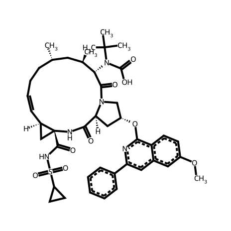 COc1ccc2c(O[C@@H]3C[C@H]4C(=O)N[C@]5(C(=O)NS(=O)(=O)C6CC6)C[C@H]5/C=C\CC[C@H](C)C[C@@H](C)[C@H](N(C(=O)O)C(C)(C)C)C(=O)N4C3)nc(-c3ccccc3)cc2c1